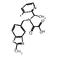 Cc1nc2cc(CN(C(=O)C(=O)O)C(C)c3ncccc3F)ccc2s1